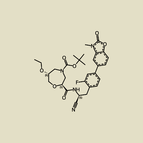 CCO[C@H]1CO[C@H](C(=O)N[C@H](C#N)Cc2ccc(-c3ccc4oc(=O)n(C)c4c3)cc2F)CN(C(=O)OC(C)(C)C)C1